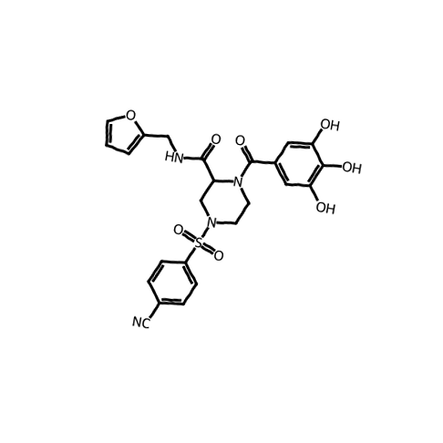 N#Cc1ccc(S(=O)(=O)N2CCN(C(=O)c3cc(O)c(O)c(O)c3)C(C(=O)NCc3ccco3)C2)cc1